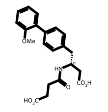 COc1ccccc1-c1ccc(C[C@H](CC(=O)O)NC(=O)CCC(=O)O)cc1